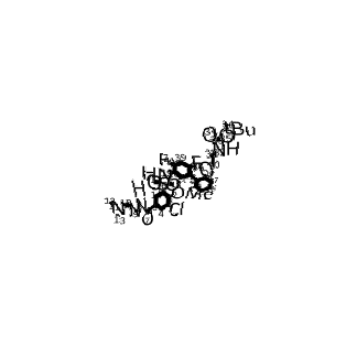 COc1c(Cl)cc(C(=O)N/N=C/N(C)C)cc1S(=O)(=O)Nc1cc(-c2ccccc2OCCNC(=O)OC(C)(C)C)c(F)cc1F